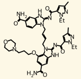 CCn1nc(C)cc1C(=O)/N=c1\[nH]c2cc(C(N)=O)ccc2n1C/C=C/Cn1/c(=N/C(=O)c2cc(C)nn2CC)[nH]c2cc(C(N)=O)cc(OCCCN3CCOCC3)c21